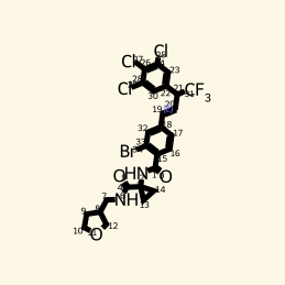 O=C(NC1(C(=O)NCC2CCOC2)CC1)c1ccc(/C=C/C(c2cc(Cl)c(Cl)c(Cl)c2)C(F)(F)F)cc1Br